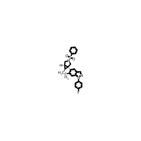 Cc1cc2c(cnn2-c2ccc(F)cc2)cc1[C@@]12CN(S(=O)(=O)c3ccccc3)C[C@@H]1[C@H]2C